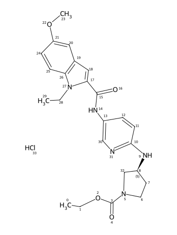 CCOC(=O)N1CC[C@H](Nc2ccc(NC(=O)c3cc4cc(OC)ccc4n3CC)cn2)C1.Cl